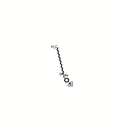 CCCCCCCCCCCCCCCCC(=O)NC[C@H]1CC[C@H](C(=O)O)CC1